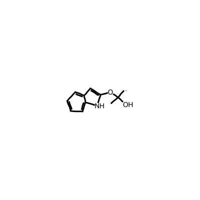 [CH2]C(C)(O)Oc1cc2ccccc2[nH]1